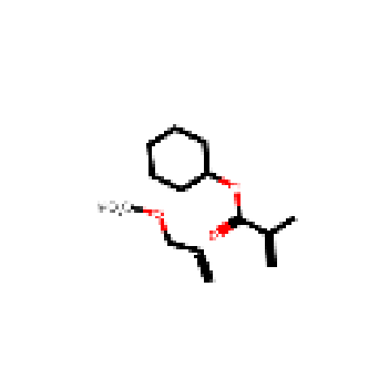 C=C(C)C(=O)OC1CCCCC1.C=CCOC(=O)O